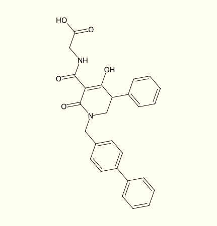 O=C(O)CNC(=O)C1=C(O)C(c2ccccc2)CN(Cc2ccc(-c3ccccc3)cc2)C1=O